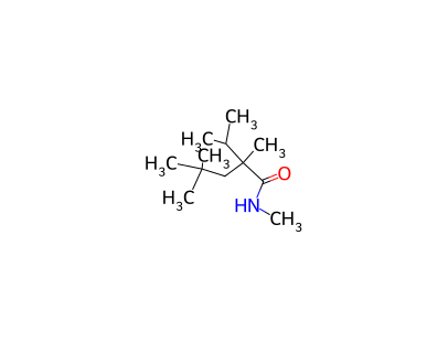 CNC(=O)C(C)(CC(C)(C)C)C(C)C